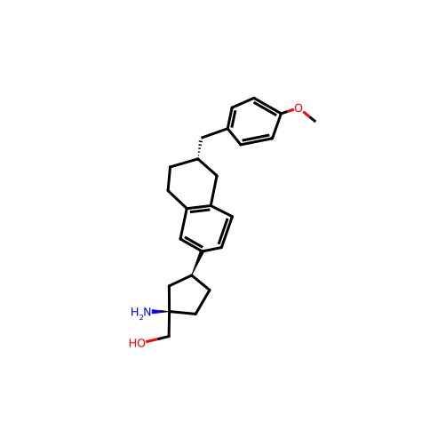 COc1ccc(C[C@H]2CCc3cc([C@H]4CC[C@](N)(CO)C4)ccc3C2)cc1